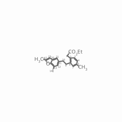 CCOC(=O)Cc1ccc(C)cc1CCc1cc(I)c2oc(C)cc2c1